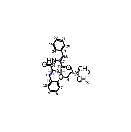 CN(C)CCOc1ccccc1/C=c1\[nH]c(=O)/c(=C/c2ccccc2)[nH]c1=O